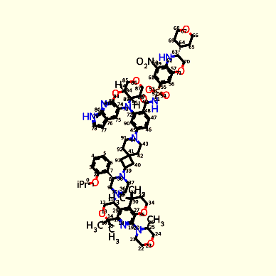 CC(C)Oc1ccccc1[C@@H]1CN([C@@H]2COC(C)(C)c3nc(N4CCOC[C@@H]4C)c4c(c32)C(C)(C)CCO4)CCN1C1CC2(CCN(c3ccc(C(=O)NS(=O)(=O)c4cc5c(c([N+](=O)[O-])c4)N[C@H](C4CCOCC4)CO5)c(N4c5cc6cc[nH]c6nc5O[C@H]5COCC[C@@H]54)c3)CC2)C1